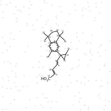 Cc1cc2c(cc1C1(C=CC=CC(=O)O)CC1C)C(C)(C)CCC2(C)C